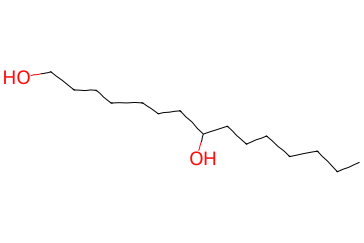 CCCCCCCC(O)CCCCCCCO